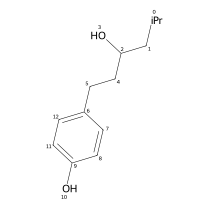 CC(C)CC(O)CCc1ccc(O)cc1